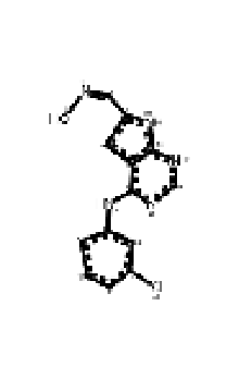 O/N=C\c1cc2c(Nc3cccc(Cl)c3)ncnc2[nH]1